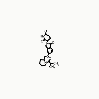 CC(C)C(=O)N1CCCCC1COc1ccc2c(c1)CN(C1CCC(=O)NC1=O)C2=O